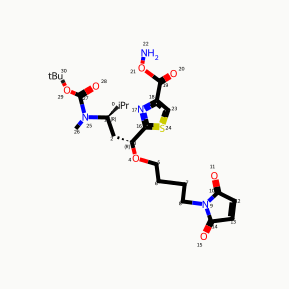 CC(C)[C@@H](C[C@@H](OCCCCN1C(=O)C=CC1=O)c1nc(C(=O)ON)cs1)N(C)C(=O)OC(C)(C)C